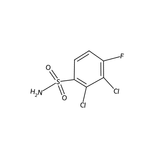 NS(=O)(=O)c1ccc(F)c(Cl)c1Cl